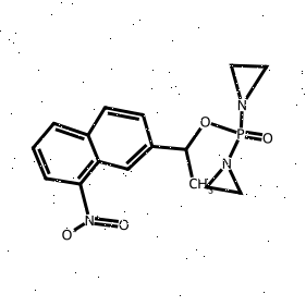 CC(OP(=O)(N1CC1)N1CC1)c1ccc2cccc([N+](=O)[O-])c2c1